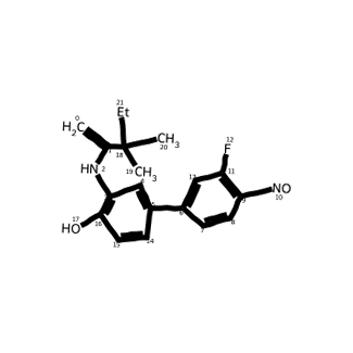 C=C(Nc1cc(-c2ccc(N=O)c(F)c2)ccc1O)C(C)(C)CC